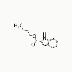 CCCCOC(=O)c1cc2ccccc2[nH]1